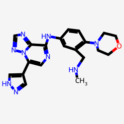 CNCc1cc(Nc2ncc(-c3cn[nH]c3)n3ncnc23)ccc1N1CCOCC1